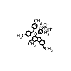 C=Cc1ccc2c(c1)-c1cc(C=C)c[c]([Zr+2]([C]3=CC(C(C)(C)C)=CC3)=[C](c3ccc(C)cc3)c3ccc(C)cc3)c1C2.[Cl-].[Cl-]